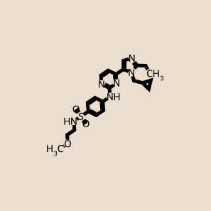 CCc1ncc(-c2ccnc(Nc3ccc(S(=O)(=O)NCCOC)cc3)n2)n1CC1CC1